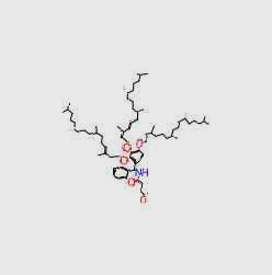 CC(C)CCC[C@@H](C)CCC[C@@H](C)CCCC(C)CCOc1ccc(C(NC(=O)CC[C]=O)c2ccccc2)c(OCCC(C)CCC[C@H](C)CCC[C@H](C)CCCC(C)C)c1OCCC(C)CCC[C@H](C)CCC[C@H](C)CCCC(C)C